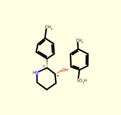 Cc1ccc(S(=O)(=O)O)cc1.Cc1ccc([C@H]2NCCC[C@H]2O)cc1